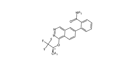 C[C@H](Oc1nncc2cc(-c3ccccc3C(N)=O)ccc12)C(F)(F)F